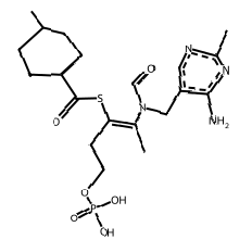 C/C(=C(\CCOP(=O)(O)O)SC(=O)C1CCC(C)CC1)N(C=O)Cc1cnc(C)nc1N